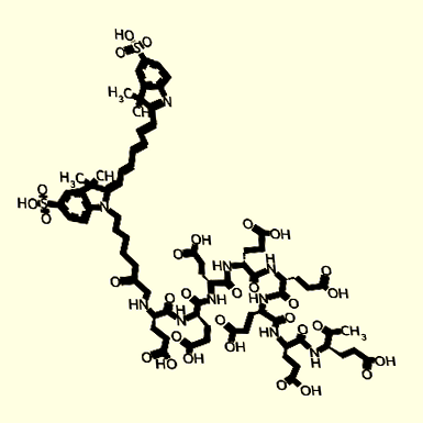 CC(=O)[C@@H](CCC(=O)O)NC(=O)[C@@H](CCC(=O)O)NC(=O)[C@@H](CCC(=O)O)NC(=O)[C@@H](CCC(=O)O)NC(=O)[C@@H](CCC(=O)O)NC(=O)[C@@H](CCC(=O)O)NC(=O)[C@@H](CCC(=O)O)NC(=O)[C@@H](CCC(=O)O)NCC(=O)CCCCCN1/C(=C/C=C/C=C/C=C/C2=Nc3ccc(S(=O)(=O)O)cc3C2(C)C)C(C)(C)c2cc(S(=O)(=O)O)ccc21